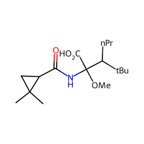 CCCC(C(C)(C)C)C(NC(=O)C1CC1(C)C)(OC)C(=O)O